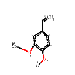 C=Cc1ccc(OCC)c(OCC)c1